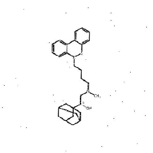 CN(CCCCN1Sc2ccccc2-c2ccccc21)C[C@H](O)C12CC3CC(CC(C3)C1)C2